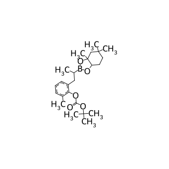 Cc1cccc(CC(C)B2OC3CCC(C)(C)CC3(C)O2)c1OC(=O)OC(C)(C)C